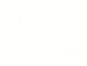 Cc1nc(-c2cn3c(n2)-c2ccc(C4=CCN(C(=O)OC(C)(C)C)CC4)cc2OCC3)n(C(C)C)n1